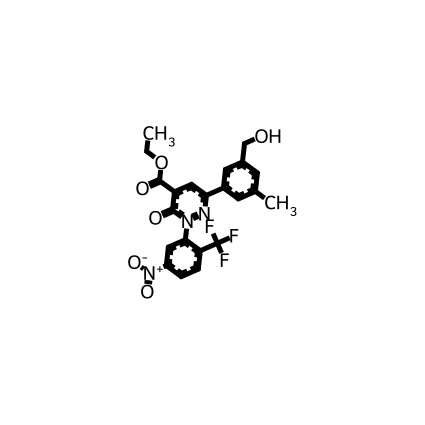 CCOC(=O)c1cc(-c2cc(C)cc(CO)c2)nn(-c2cc([N+](=O)[O-])ccc2C(F)(F)F)c1=O